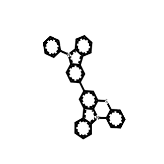 c1ccc(-n2c3ccccc3c3cc(-c4cc5c6c(c4)c4ccccc4n6-c4ccccc4S5)ccc32)cc1